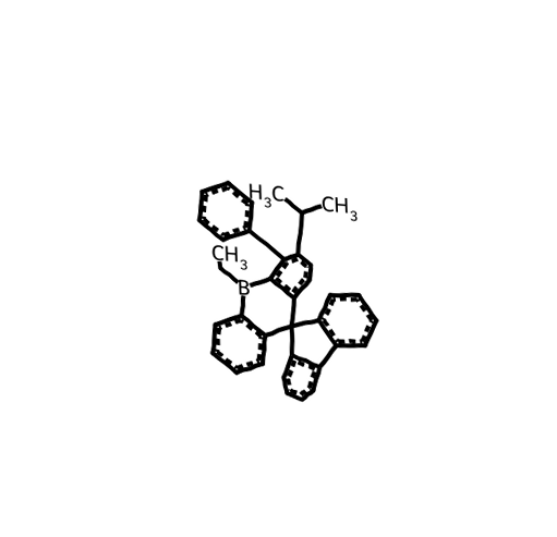 CCB1c2ccccc2C2(c3ccccc3-c3ccccc32)c2ccc(C(C)C)c(-c3ccccc3)c21